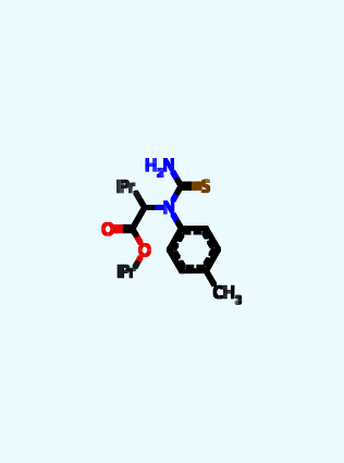 Cc1ccc(N(C(N)=S)C(C(=O)OC(C)C)C(C)C)cc1